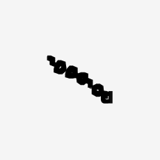 CCC[C@H]1CC[C@H](c2ccc(-c3ccc(CC[C@H]4CC[C@H](CCl)CC4)cc3)cc2)CC1